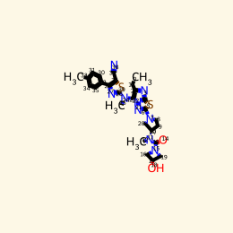 CCc1nc2sc(N3CC[C@H](N(C)C(=O)N4CC(O)C4)C3)nn2c1N(C)c1nc(-c2ccc(C)cc2)c(C#N)s1